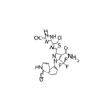 NC(=O)c1c(-c2nc(C3=NC(=C=O)NN3)c(Cl)s2)nn(-c2cccc3c2C=CNC3=C=O)c1C(F)(F)F